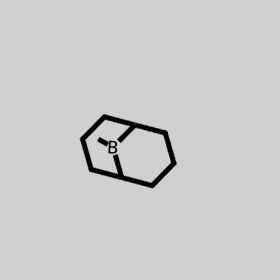 CB1C2CCCC1CCC2